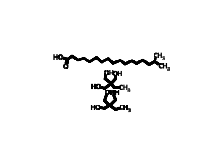 CC(C)CCCCCCCCCCCCCCC(=O)O.CCC(CO)(CO)CO.CCC(CO)(CO)CO